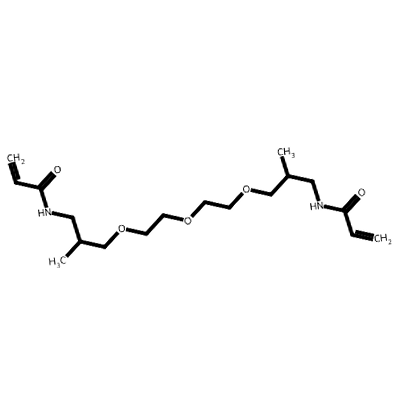 C=CC(=O)NCC(C)COCCOCCOCC(C)CNC(=O)C=C